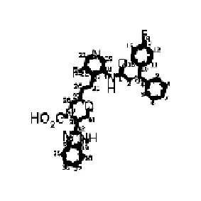 O=C(C[C@H](c1ccccc1)c1ccc(F)cc1)Nc1cncc(F)c1CCC1CN(C(=O)O)C(c2nc3ccccc3[nH]2)CO1